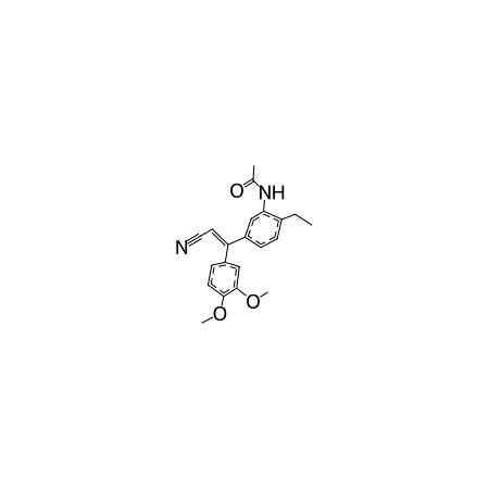 CCc1ccc(C(=CC#N)c2ccc(OC)c(OC)c2)cc1NC(C)=O